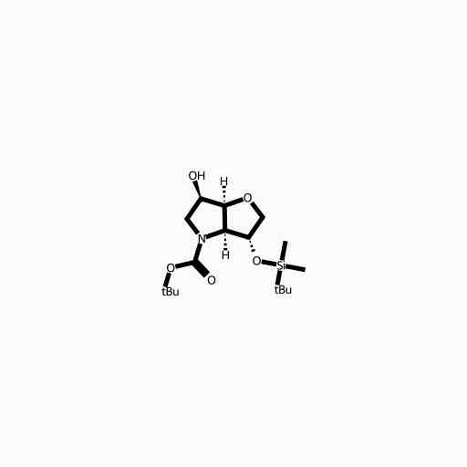 CC(C)(C)OC(=O)N1C[C@@H](O)[C@H]2OC[C@H](O[Si](C)(C)C(C)(C)C)[C@H]21